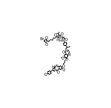 CC/C(=C\N1CC=Nc2cc(OCCCOc3cc4c(cc3OC)C(=O)N3C=C(c5ccc(OC)cc5)C[C@H]3C=N4)c(OC)cc2C1=O)c1ccc(NC(=O)[C@@H](C)NC(=O)[C@H](NC(=O)CCCCCN2C(=O)C=C(Br)C2=O)C(C)C)cc1